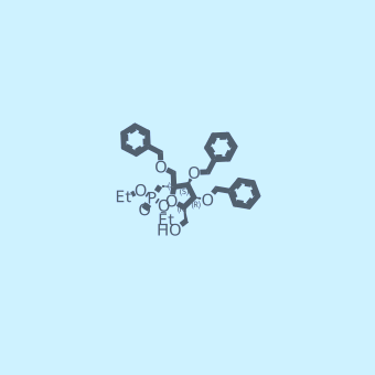 CCOP(=O)(C[C@@]1(COCc2ccccc2)O[C@H](CO)[C@@H](OCc2ccccc2)[C@@H]1OCc1ccccc1)OCC